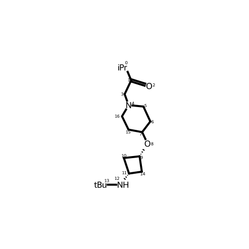 CC(C)C(=O)CN1CCC(O[C@H]2C[C@@H](NC(C)(C)C)C2)CC1